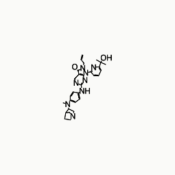 C=CCn1c(=O)c2cnc(Nc3ccc(N(C)[C@@H]4CN5CCC4C5)cc3)nc2n1-c1cccc(C(C)(C)O)n1